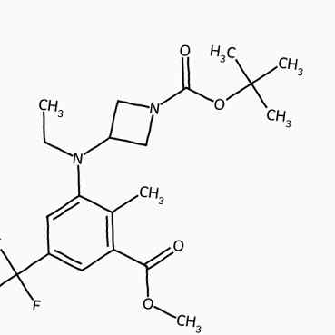 CCN(c1cc(C(F)(F)F)cc(C(=O)OC)c1C)C1CN(C(=O)OC(C)(C)C)C1